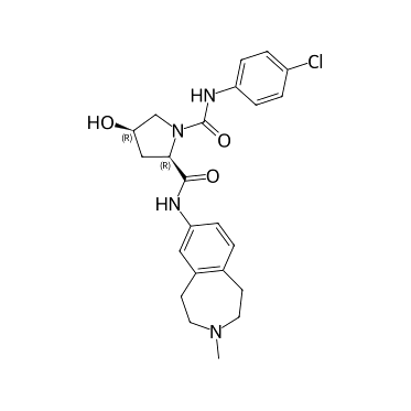 CN1CCc2ccc(NC(=O)[C@H]3C[C@@H](O)CN3C(=O)Nc3ccc(Cl)cc3)cc2CC1